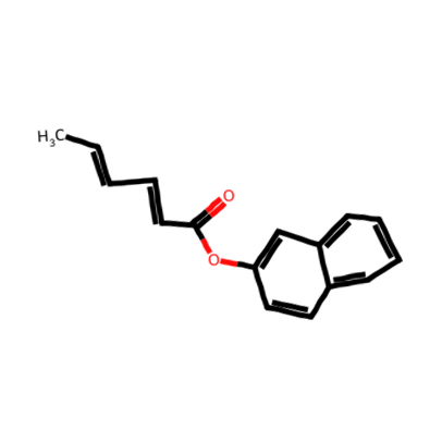 CC=CC=CC(=O)Oc1ccc2ccccc2c1